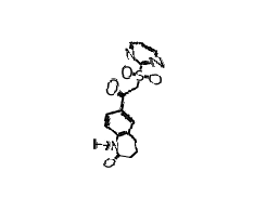 O=C1CCCc2cc(C(=O)CS(=O)(=O)c3ncccn3)ccc2N1